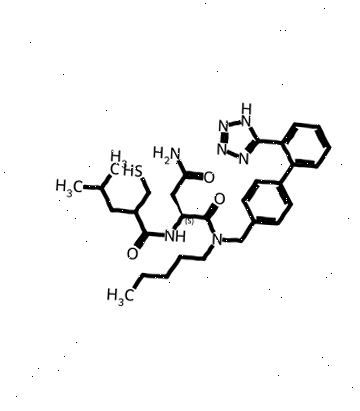 CCCCCN(Cc1ccc(-c2ccccc2-c2nnn[nH]2)cc1)C(=O)[C@H](CC(N)=O)NC(=O)C(CS)CC(C)C